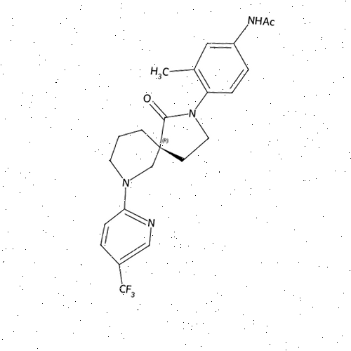 CC(=O)Nc1ccc(N2CC[C@@]3(CCCN(c4ccc(C(F)(F)F)cn4)C3)C2=O)c(C)c1